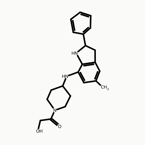 Cc1cc2c(c(NC3CCN(C(=O)CO)CC3)c1)NC(c1ccccc1)C2